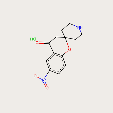 Cl.O=C1CC2(CCNCC2)Oc2ccc([N+](=O)[O-])cc21